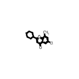 Cc1cc(Cl)cc2c(=O)cc(C3CCCCC3)oc12